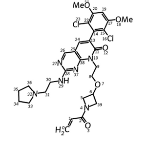 C=CC(=O)N1CC(OCCn2c(=O)c(-c3c(Cl)c(OC)cc(OC)c3Cl)cc3cnc(NCCN4CCCC4)nc32)C1